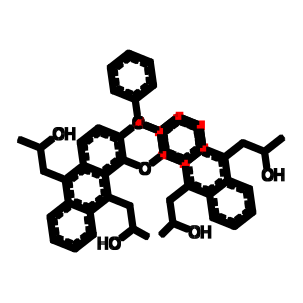 CC(O)Cc1c2ccccc2c(CC(C)O)c2c(Oc3c(Oc4ccccc4)ccc4c(CC(C)O)c5ccccc5c(CC(C)O)c34)c(Oc3ccccc3)ccc12